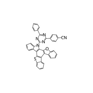 N#Cc1ccc(-c2nc(-c3ccccc3)nc(-n3c4ccccc4c4c5sc6ccccc6c5c5c6ccccc6oc5c43)n2)cc1